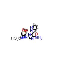 NC(=O)c1ncc(N[C@@H]2CS(=O)(=O)CC[C@@H]2NC(=O)O)nc1-c1cc2ccccc2[nH]1